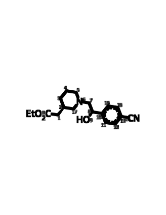 CCOC(=O)C[C@H]1CCCN(C[C@H](O)c2ccc(C#N)cc2)C1